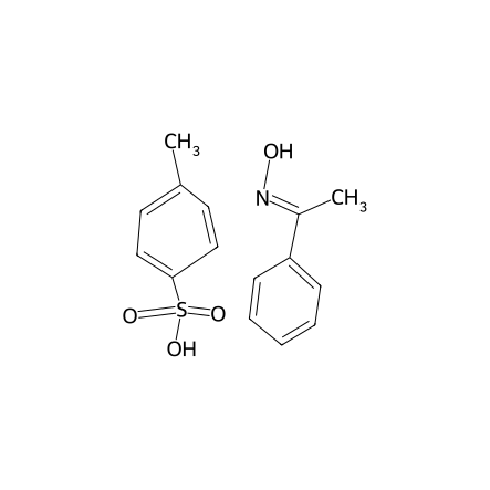 CC(=NO)c1ccccc1.Cc1ccc(S(=O)(=O)O)cc1